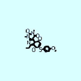 CCc1nc2c(c3c1C(=O)C(Sc1ccc(OC)cc1)=CC3=O)c(=O)n(C)c(=O)n2C